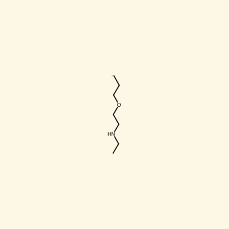 [CH2]CCOCCNCC